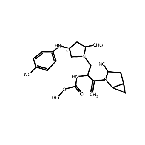 C=C(C(CN1C[C@@H](Nc2ccc(C#N)cc2)CC1C=O)NC(=O)OC(C)(C)C)N1C(C#N)CC2CC21